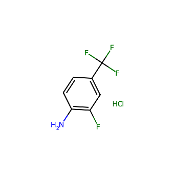 Cl.Nc1ccc(C(F)(F)F)cc1F